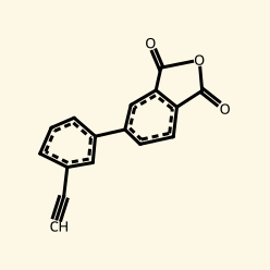 C#Cc1cccc(-c2ccc3c(c2)C(=O)OC3=O)c1